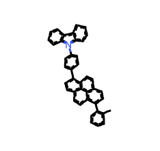 Cc1ccccc1-c1ccc2ccc3c(-c4ccc(-n5c6ccccc6c6ccccc65)cc4)ccc4ccc1c2c43